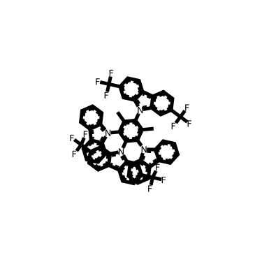 Cc1c(-n2c3cc(C(F)(F)F)ccc3c3ccc(C(F)(F)F)cc32)c(C)c(-n2c3ccccc3c3ccccc32)c(-n2c3cc(C(F)(F)F)ccc3c3ccc(C(F)(F)F)cc32)c1-n1c2ccccc2c2ccccc21